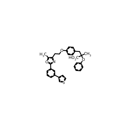 Cc1oc(-c2cccc(-c3ccsc3)c2)nc1CCOc1ccc(CC(C)(Oc2ccccc2)C(=O)O)cc1